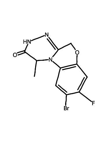 CC1C(=O)NN=C2COc3cc(F)c(Br)cc3N21